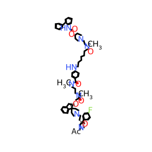 CC(=O)N1CO[C@](CCN2CCC3(CC2)c2ccccc2C[C@@H]3OCC(=O)N(C)CCCN(C)C(=O)c2ccc(NCCCCCCC(=O)N(C)CCN3CCC(OC(=O)Nc4ccccc4-c4ccccc4)CC3)cc2)(c2ccc(F)cc2)C1